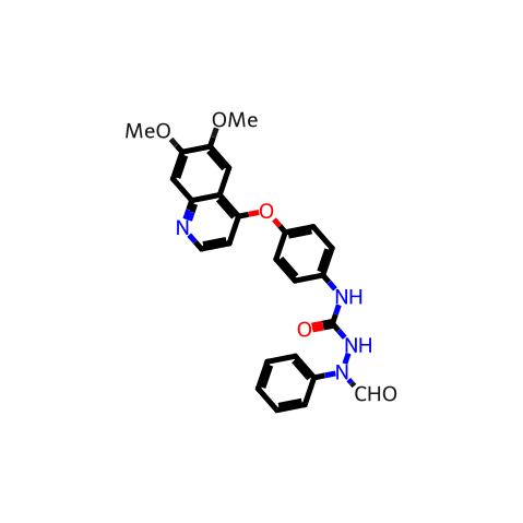 COc1cc2nccc(Oc3ccc(NC(=O)NN(C=O)c4ccccc4)cc3)c2cc1OC